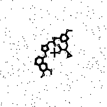 COc1cc(CN(C(=O)OC(C)(C)C)C2CC2)cc(NC(=O)Cn2cc(Oc3ncnc4cc(OC)c(OC)cc34)cn2)c1